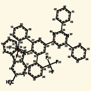 Cc1ccc2c(c1)c1ccccc1n2-c1c(-c2ccccc2C(F)(F)F)cc(-c2cc(-c3ccccc3)nc(-c3ccccc3)n2)cc1-c1ccccc1C(F)(F)F